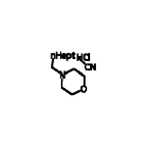 CC#N.CCCCCCCCN1CCOCC1.Cl